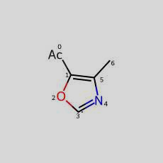 CC(=O)c1o[c]nc1C